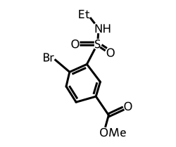 CCNS(=O)(=O)c1cc(C(=O)OC)ccc1Br